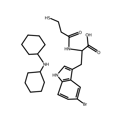 C1CCC(NC2CCCCC2)CC1.O=C(CCS)NC(Cc1c[nH]c2ccc(Br)cc12)C(=O)O